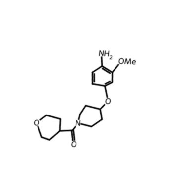 COc1cc(OC2CCN(C(=O)C3CCOCC3)CC2)ccc1N